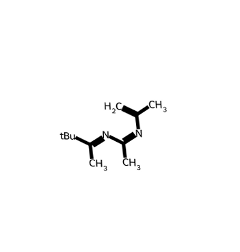 C=C(C)/N=C(C)\N=C(/C)C(C)(C)C